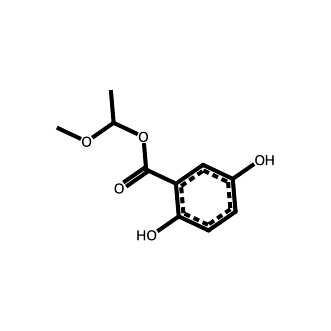 COC(C)OC(=O)c1cc(O)ccc1O